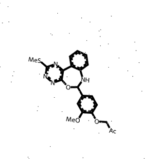 COc1cc(C2Nc3ccccc3-c3nc(SC)nnc3O2)ccc1OCC(C)=O